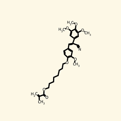 C=C(C)C(=O)OCCCCCCCCOc1ccc(/C=C(\C#N)c2cc(OC)c(OC)c(OC)c2)cc1OC